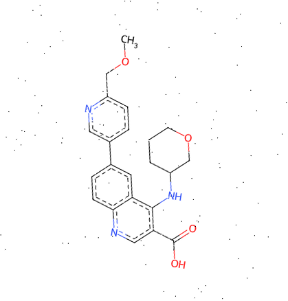 COCc1ccc(-c2ccc3ncc(C(=O)O)c(NC4CCCOC4)c3c2)cn1